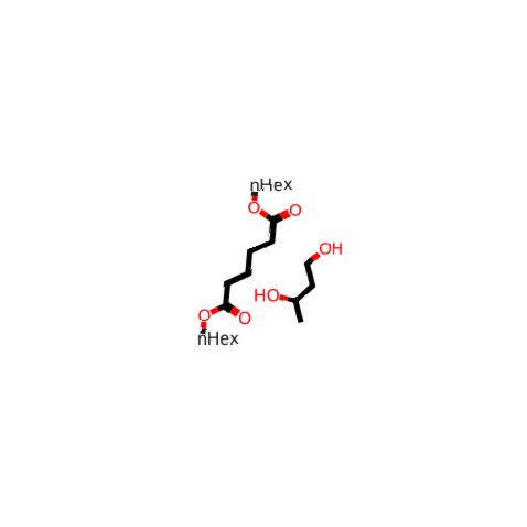 CC(O)CCO.CCCCCCOC(=O)CCCCC(=O)OCCCCCC